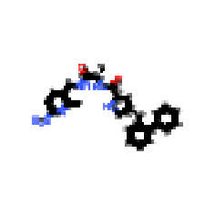 Cc1nc(N)ccc1CNC(=O)[C@H](C)NC(=O)[C@H]1C[C@H](Cc2ccccc2-c2ccccc2)CN1